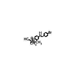 C#CN(C)S(=O)(=O)c1ccc(NCc2ccc(Br)cc2)cc1C